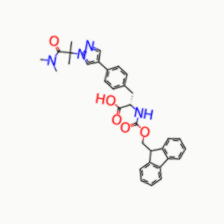 CN(C)C(=O)C(C)(C)n1cc(-c2ccc(C[C@H](NC(=O)OCC3c4ccccc4-c4ccccc43)C(=O)O)cc2)cn1